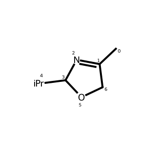 CC1=NC(C(C)C)OC1